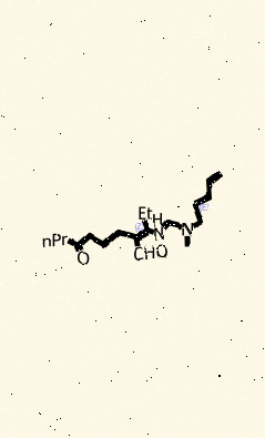 C=C/C=C/CN(C)CN/C(CC)=C(\C=O)CCCC(=O)CCC